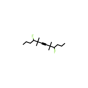 CCCC(F)C(C)(C)C#CC(C)(C)C(F)CCC